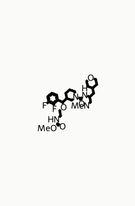 CNCC(CC1CCOCC1)NC(=O)N1CCCC(C(OCCNC(=O)OC)c2cccc(F)c2F)C1